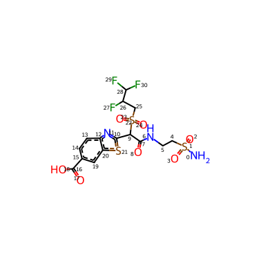 NS(=O)(=O)CCNC(=O)C(c1nc2ccc(C(=O)O)cc2s1)S(=O)(=O)CC(F)C(F)F